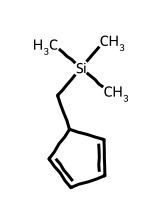 C[Si](C)(C)CC1C=CC=C1